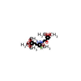 COc1ccc(C(=O)C=CNc2cc(C=Cc3cc(OC)c(OC)c(OC)c3)cc(F)c2OC)cc1OC